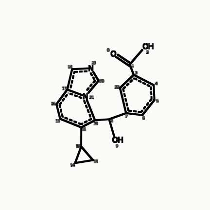 O=C(O)c1cccc(C(O)c2c(C3CC3)ccc3cncn23)c1